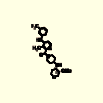 CO[C@@H]1COCC[C@@H]1NC1CCN(C(=O)c2nccc(Nc3cccc(C(F)(F)F)c3)c2C)CC1